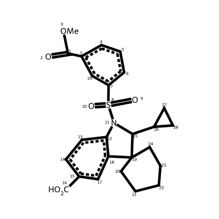 COC(=O)c1cccc(S(=O)(=O)N2c3ccc(C(=O)O)cc3C3(CCCCC3)C2C2CC2)c1